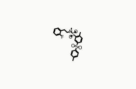 Cc1ccc(S(=O)(=O)c2ccc(C)c(S(=O)(=O)N(C)CCc3ccccc3F)c2)cc1